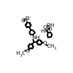 CCOc1ccc(C(CNC2CCC(c3ccc([N+](=O)[O-])cc3)CC2)c2ccc(OCC)cc2)cc1.O=S(=O)(O)NC1CCCCC1